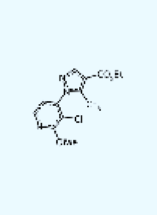 CCOC(=O)c1cnn(-c2ccnc(OC)c2Cl)c1C(F)(F)F